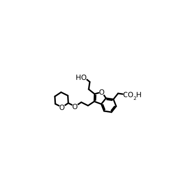 O=C(O)Cc1cccc2c(CCOC3CCCCO3)c(CCO)oc12